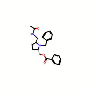 CC(=O)NC[C@@H]1CC[C@@H](COC(=O)c2ccccc2)N1Cc1ccccc1